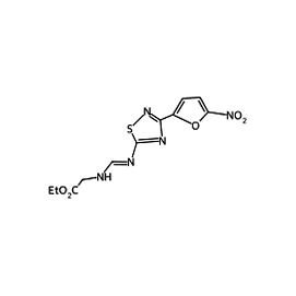 CCOC(=O)CN/C=N/c1nc(-c2ccc([N+](=O)[O-])o2)ns1